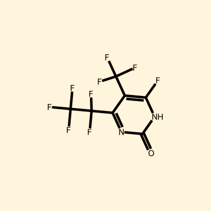 O=c1nc(C(F)(F)C(F)(F)F)c(C(F)(F)F)c(F)[nH]1